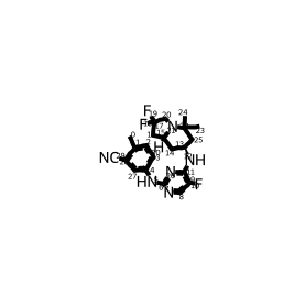 Cc1ccc(Nc2ncc(F)c(N[C@H]3C[C@@H]4CC(F)(F)CN4C(C)(C)C3)n2)cc1C#N